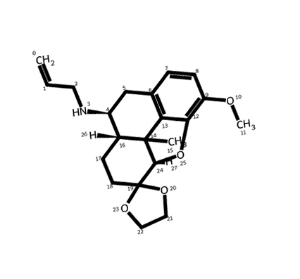 C=CCN[C@H]1Cc2ccc(OC)c3c2C2(C)[C@@H]1CCC1(OCCO1)[C@H]2O3